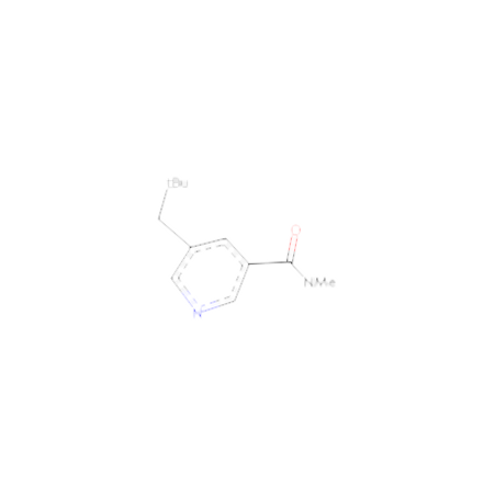 CNC(=O)c1cncc(CC(C)(C)C)c1